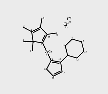 CC1=C(C)C(C)(C)[C]([Zr+2][C]2=C(C3CCCCC3)C=CC2)=C1C.[Cl-].[Cl-]